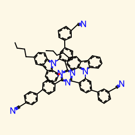 CCCCc1ccc2c(c1)c1ccccc1n2-c1cc(-c2cccc(C#N)c2)ccc1-c1nc(-c2ccc(-c3ccc(C#N)cc3)cc2)nc(-c2ccc(-c3cccc(C#N)c3)cc2-n2c3ccccc3c3cc(CCCC)ccc32)n1